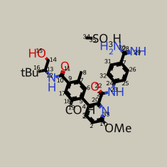 COc1ccc(-c2cc(C)c(C(=O)NC(CO)C(C)(C)C)cc2C(=O)O)c(C(=O)Nc2ccc(C(=N)N)cc2)n1.CS(=O)(=O)O